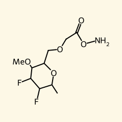 COC1C(COCC(=O)ON)OC(C)C(F)C1F